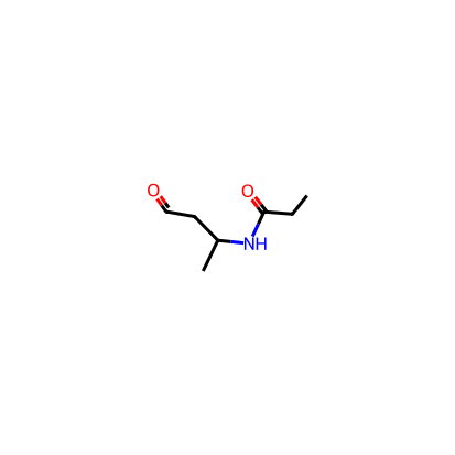 CCC(=O)NC(C)CC=O